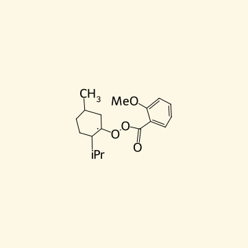 COc1ccccc1C(=O)OO[C]1CC(C)CCC1C(C)C